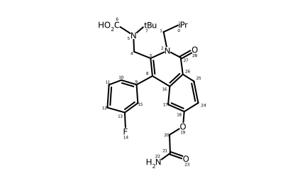 CC(C)Cn1c(CN(C(=O)O)C(C)(C)C)c(-c2cccc(F)c2)c2cc(OCC(N)=O)ccc2c1=O